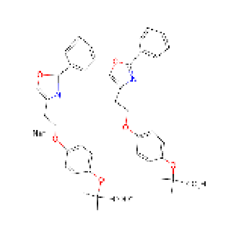 CC(C)(Oc1ccc(OCCc2coc(-c3ccccc3)n2)cc1)C(=O)O.CC(C)(Oc1ccc(OCCc2coc(-c3ccccc3)n2)cc1)C(=O)[O-].[Na+]